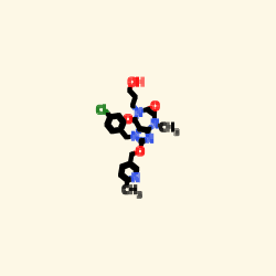 Cc1ccc(COc2nc3c(n2Cc2ccc(Cl)cc2)C(=O)N(CCCO)C2OC2N3C)cn1